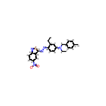 CCc1cc(N(CC)Cc2ccc(C)cc2)ccc1N=Nc1snc2ccc([N+](=O)[O-])cc12